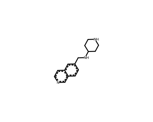 c1cc2cc(CNC3CCNCC3)ccc2cn1